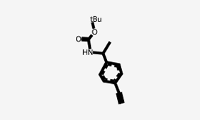 C#Cc1ccc(C(C)NC(=O)OC(C)(C)C)cc1